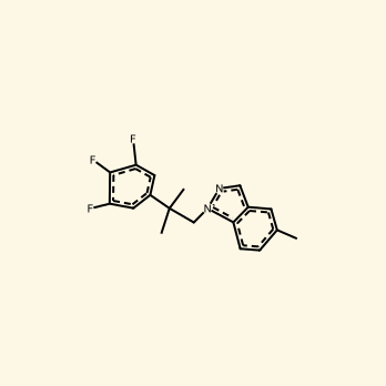 Cc1ccc2c(cnn2CC(C)(C)c2cc(F)c(F)c(F)c2)c1